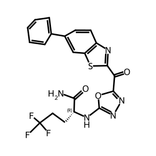 NC(=O)[C@@H](CCC(F)(F)F)Nc1nnc(C(=O)c2nc3ccc(-c4ccccc4)cc3s2)o1